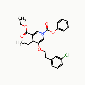 CCOC(=O)C1=CN(C(=O)Oc2ccccc2)C=C(OCCc2cccc(Cl)c2)C1CC